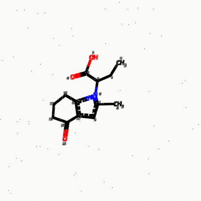 CCC(C(=O)O)n1c(C)cc2c1CCCC2=O